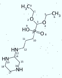 CCOC(OCC)P(=O)(O)CCCNC1CNCCN1